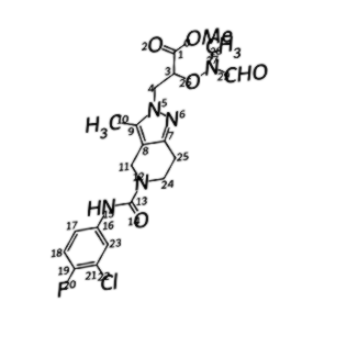 COC(=O)C(Cn1nc2c(c1C)CN(C(=O)Nc1ccc(F)c(Cl)c1)CC2)ON(C)C=O